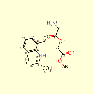 CCC(C)OC(=O)COC(=O)CN.CCc1cccc(C)c1N[C@@H](C)C(=O)O